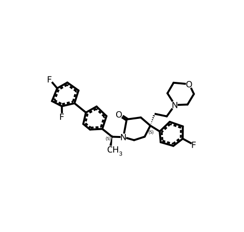 C[C@@H](c1ccc(-c2ccc(F)cc2F)cc1)N1CC[C@](CCN2CCOCC2)(c2ccc(F)cc2)CC1=O